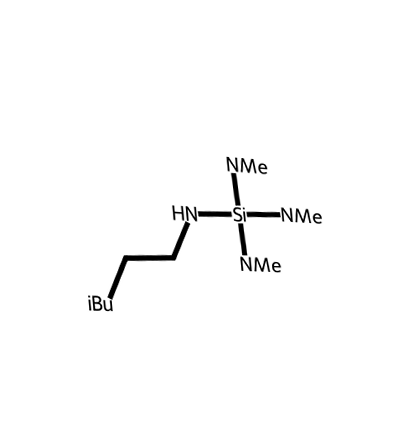 CCC(C)CCN[Si](NC)(NC)NC